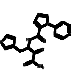 NC(=O)C(=O)C(Cc1ccsc1)NC(=O)c1cncn1-c1ccncc1